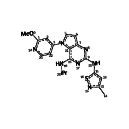 COc1cc(-n2ccc3nc(Nc4cc(C)ns4)nc(NC(C)C)c32)ccn1